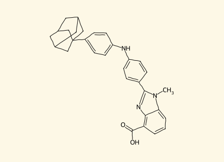 Cn1c(-c2ccc(Nc3ccc(C45CC6CC(CC(C6)C4)C5)cc3)cc2)nc2c(C(=O)O)cccc21